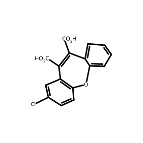 O=C(O)C1=C(C(=O)O)c2cc(Cl)ccc2Oc2ccccc21